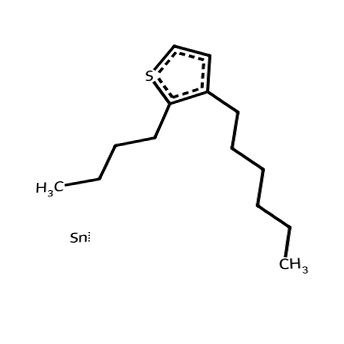 CCCCCCc1ccsc1CCCC.[Sn]